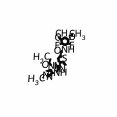 C=CC(=O)Nc1cn(C)nc1Nc1ncc2sc(C(=O)Nc3c(F)c(OC)cc(OC)c3F)cc2n1